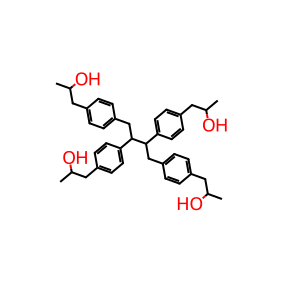 CC(O)Cc1ccc(CC(c2ccc(CC(C)O)cc2)C(Cc2ccc(CC(C)O)cc2)c2ccc(CC(C)O)cc2)cc1